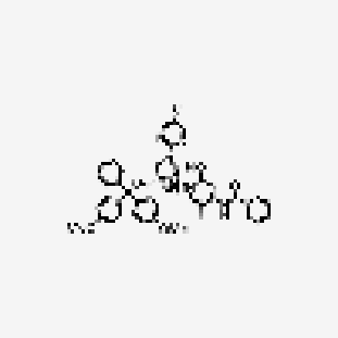 COc1ccc(C(OC[C@@]23CN(c4ncc(Cl)cn4)[C@@H]([C@H](n4cc(C)c(NC(=O)c5ccccc5)nc4=O)O2)[C@@H]3O)(c2ccccc2)c2ccc(OC)cc2)cc1